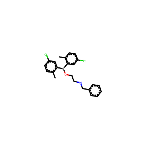 Cc1ccc(Cl)cc1B(OCCNCc1ccccc1)c1cc(Cl)ccc1C